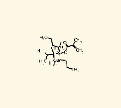 C=C(C)C(=O)O[Si](C(C)CCC)(C(C)CCC)C(C)(C)C(C)C